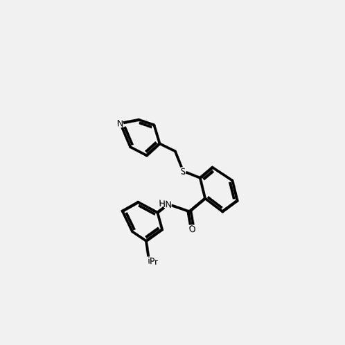 CC(C)c1cccc(NC(=O)c2ccccc2SCc2ccncc2)c1